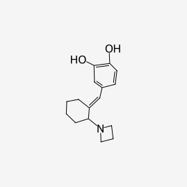 Oc1ccc(/C=C2\CCCCC2N2CCC2)cc1O